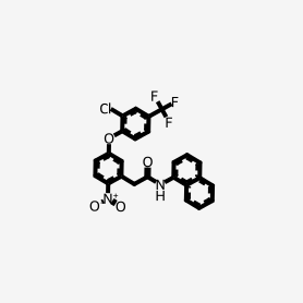 O=C(Cc1cc(Oc2ccc(C(F)(F)F)cc2Cl)ccc1[N+](=O)[O-])Nc1cccc2ccccc12